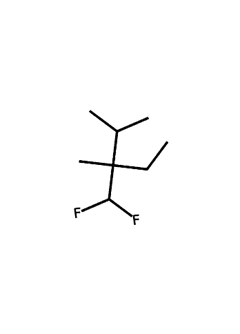 CCC(C)(C(C)C)C(F)F